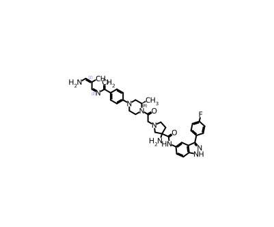 C=C(/N=C\C(C)=C/N)c1ccc(N2CCN(C(=O)CN3CCC(N)(C(=O)Nc4ccc5[nH]nc(-c6ccc(F)cc6)c5c4)C3)[C@H](C)C2)cc1